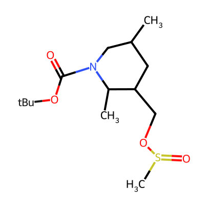 CC1CC(COS(C)=O)C(C)N(C(=O)OC(C)(C)C)C1